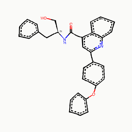 O=C(N[C@H](CO)Cc1ccccc1)c1cc(-c2ccc(Oc3ccccc3)cc2)nc2ccccc12